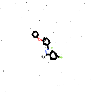 CC(/N=C/c1cccc(Oc2ccccc2)c1)c1ccc(F)cc1F